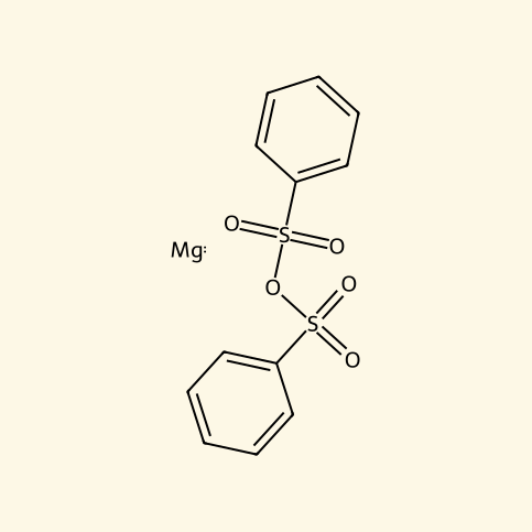 O=S(=O)(OS(=O)(=O)c1ccccc1)c1ccccc1.[Mg]